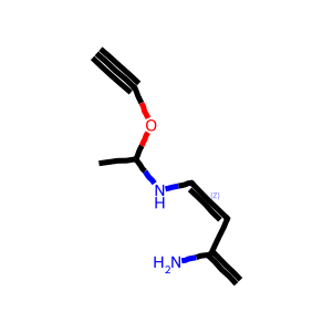 C#COC(C)N/C=C\C(=C)N